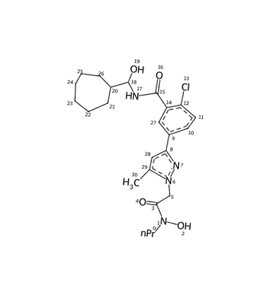 CCCN(O)C(=O)Cn1nc(-c2ccc(Cl)c(C(=O)NC(O)C3CCCCCC3)c2)cc1C